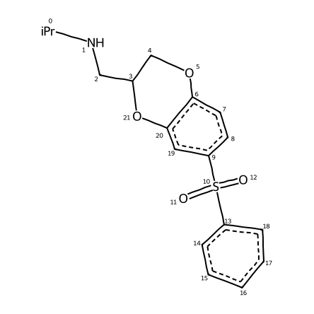 CC(C)NCC1COc2ccc(S(=O)(=O)c3ccccc3)cc2O1